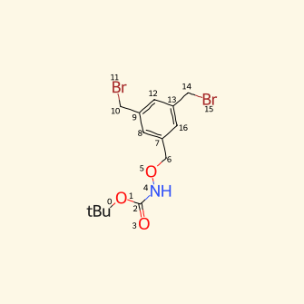 CC(C)(C)OC(=O)NOCc1cc(CBr)cc(CBr)c1